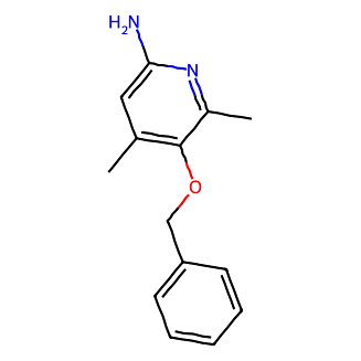 Cc1cc(N)nc(C)c1OCc1ccccc1